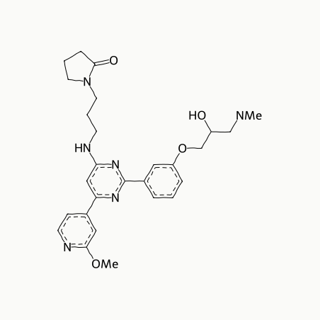 CNCC(O)COc1cccc(-c2nc(NCCCN3CCCC3=O)cc(-c3ccnc(OC)c3)n2)c1